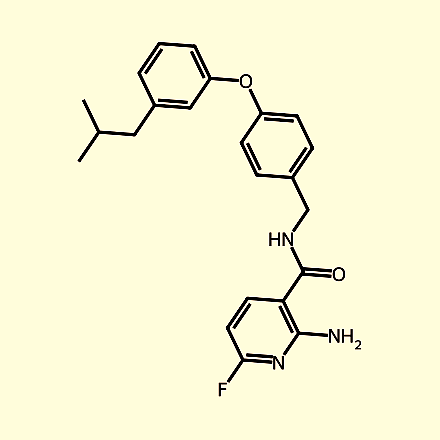 CC(C)Cc1cccc(Oc2ccc(CNC(=O)c3ccc(F)nc3N)cc2)c1